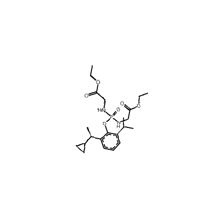 CCOC(=O)CNP(=O)(NCC(=O)OCC)Oc1c(C(C)C)cccc1[C@H](C)C1CC1